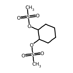 CS(=O)(=O)OC1CCCCC1OS(C)(=O)=O